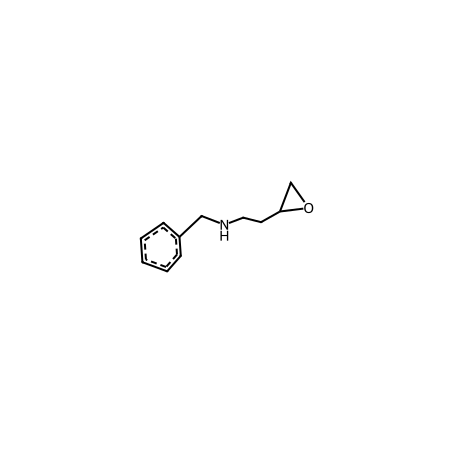 c1ccc(CNCCC2CO2)cc1